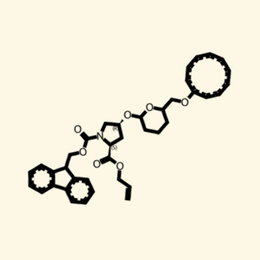 C=CCOC(=O)[C@@H]1C[C@@H](OC2CCCC(COc3ccccccccc3)O2)CN1C(=O)OCC1c2ccccc2-c2ccccc21